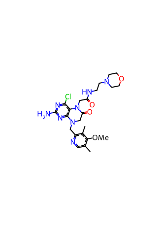 COc1c(C)cnc(CN2CC(=O)N(CC(=O)NCCN3CCOCC3)c3c(Cl)nc(N)nc32)c1C